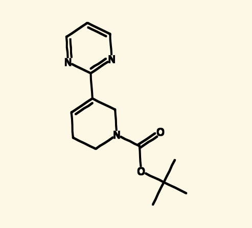 CC(C)(C)OC(=O)N1CCC=C(c2ncccn2)C1